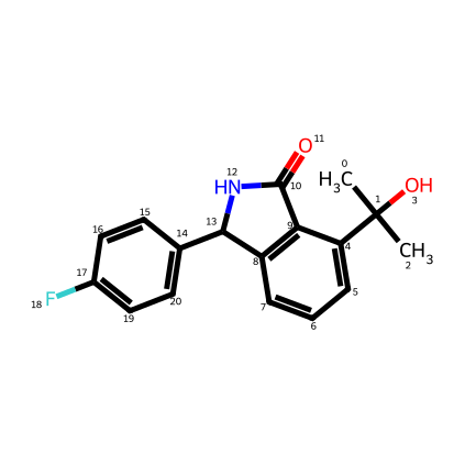 CC(C)(O)c1cccc2c1C(=O)NC2c1ccc(F)cc1